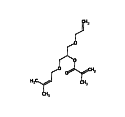 C=CCOCC(COCC=C(C)C)OC(=O)C(=C)C